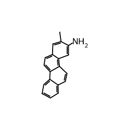 Cc1cc2ccc3c4ccccc4ccc3c2cc1N